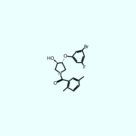 Cc1ccc(C)c(C(=O)N2C[C@@H](O)[C@H](Oc3cc(F)cc(Br)c3)C2)c1